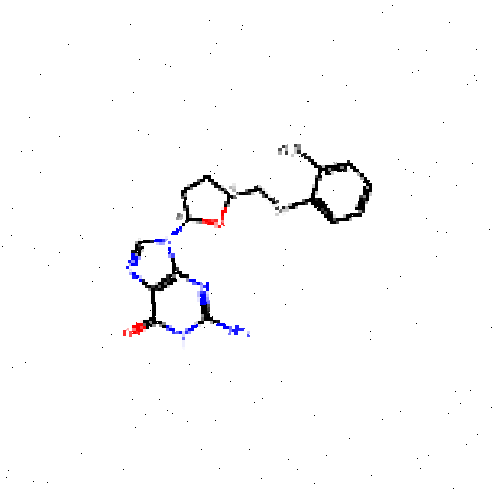 Nc1nc2c(ncn2[C@H]2CC[C@@H](C[Se]c3ccccc3[N+](=O)[O-])O2)c(=O)[nH]1